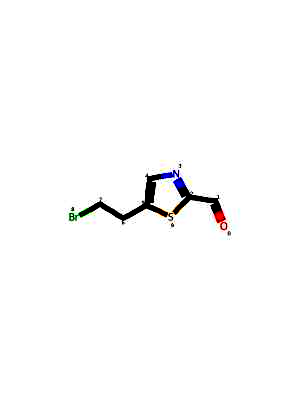 O=Cc1ncc(CCBr)s1